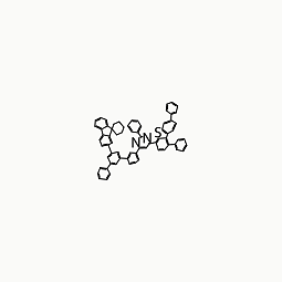 c1ccc(-c2cc(-c3cccc(-c4cc(-c5ccc(-c6ccccc6)c6c5sc5cc(-c7ccccc7)ccc56)nc(-c5ccccc5)n4)c3)cc(-c3ccc4c(c3)C3(CCCCC3)c3ccccc3-4)c2)cc1